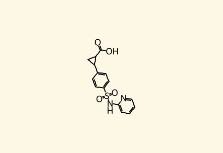 O=C(O)C1CC1c1ccc(S(=O)(=O)Nc2ccccn2)cc1